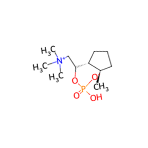 C[C@@H]1CCC[C@H]1C(C[N+](C)(C)C)OP(=O)([O-])O